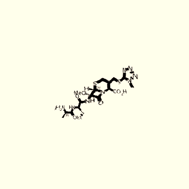 CCSC(NC(=O)[C@@H](C)N)C(=O)N[C@]1(OC)C(=O)N2C(C(=O)O)=C(CSc3nnnn3C)CS[C@H]21